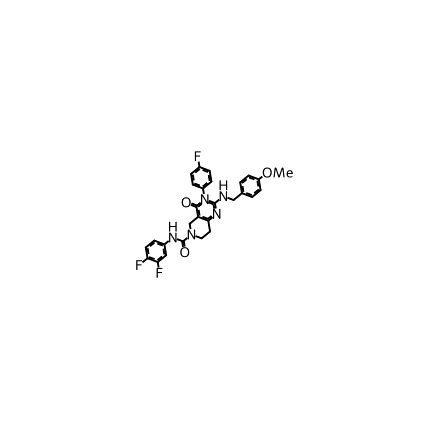 COc1ccc(CNc2nc3c(c(=O)n2-c2ccc(F)cc2)CN(C(=O)Nc2ccc(F)c(F)c2)CC3)cc1